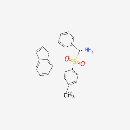 C1=Cc2ccccc2C1.Cc1ccc(S(=O)(=O)C(N)c2ccccc2)cc1